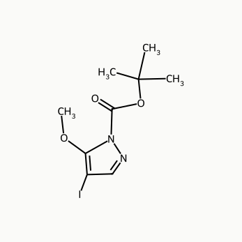 COc1c(I)cnn1C(=O)OC(C)(C)C